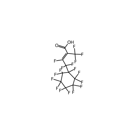 O=C(O)C(=C(F)C(F)(F)C1(F)C(F)(F)C(F)(F)C(F)(F)C(F)(F)C1(F)F)C(F)(F)F